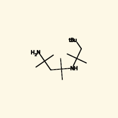 CC(C)(C)CC(C)(C)NC(C)(C)CC(C)(C)N